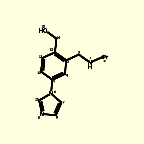 CC(C)NCc1cc(-n2ccnc2)ccc1CO